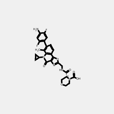 Cc1c(-c2cc(F)c(N)cc2F)ccc2c3oc(CNC(=O)[C@H]4COCCN4C(=O)O)nc3c(=O)n(C3CC3)c12